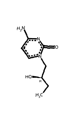 CC[C@@H](O)Cn1ccc(N)nc1=O